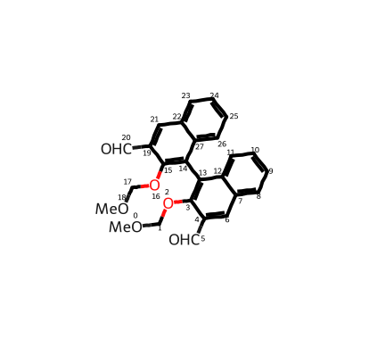 COCOc1c(C=O)cc2ccccc2c1-c1c(OCOC)c(C=O)cc2ccccc12